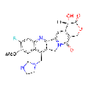 CC[C@@]1(O)C(=O)OCc2c1cc1n(c2=O)Cc2c-1nc1cc(F)c(OC)cc1c2CN1CCNC1